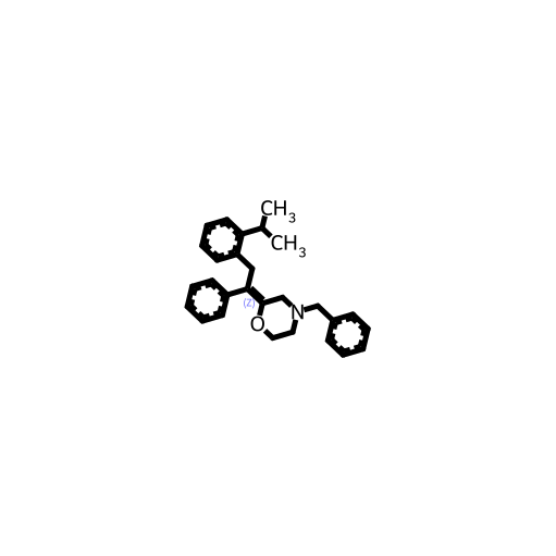 CC(C)c1ccccc1C/C(=C1\CN(Cc2ccccc2)CCO1)c1ccccc1